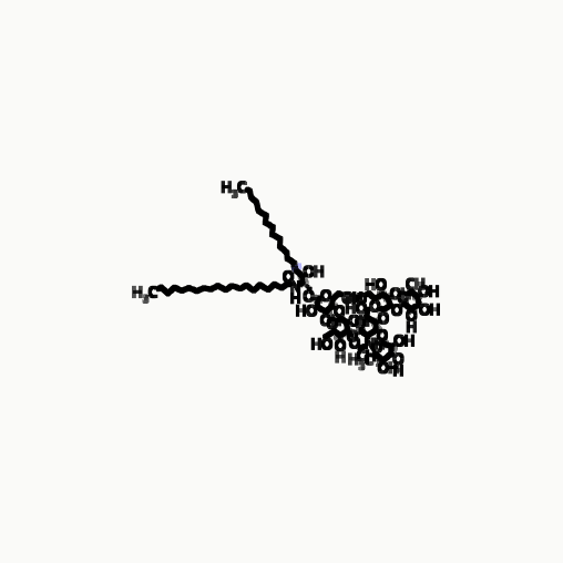 CCCCCCCCCCCCC/C=C/[C@@H](O)[C@H](CO[C@@H]1OC(CO)[C@@H](O[C@@H]2OC(CO)[C@H](O)[C@H](O[C@@H]3OC(CO)[C@@H](O[C@@H]4OC(CO)[C@H](O)[C@H](O)C4O[C@H]4OC(C)[C@@H](O)C(O)[C@@H]4O)[C@H](O[C@H]4OC(C)[C@@H](O)C(O)[C@@H]4O)C3NC(C)=O)C2O)[C@H](O)C1O)NC(=O)CCCCCCCCCCCCCCCCCCC